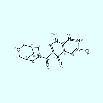 CCn1cc(C(=O)N2CC3COCC(C3)C2)c(=O)c2cc(Cl)nnc21